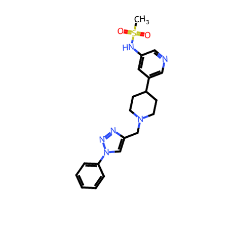 CS(=O)(=O)Nc1cncc(C2CCN(Cc3cn(-c4ccccc4)nn3)CC2)c1